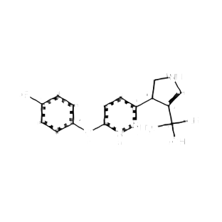 CC(C)(O)C1=CNCC1c1ccc(Oc2ccc(F)cc2)nn1